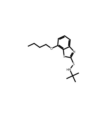 CCCCOc1cccc2nc(SNC(C)(C)C)sc12